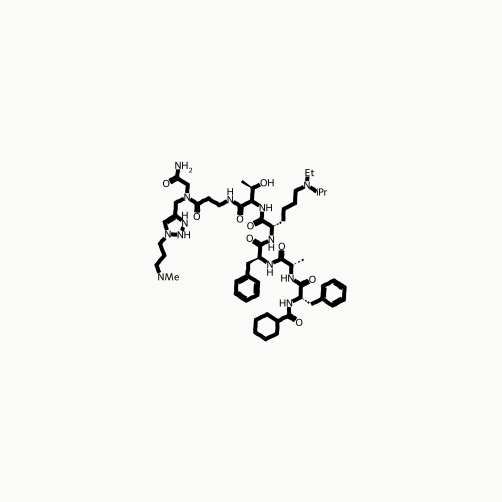 CCN(CCCC[C@H](NC(=O)[C@H](Cc1ccccc1)NC(=O)[C@H](C)NC(=O)[C@H](Cc1ccccc1)NC(=O)C1CCCCC1)C(=O)NC(C(=O)NCCC(=O)N(CC(N)=O)CC1=CN(CCCNC)NN1)[C@@H](C)O)C(C)C